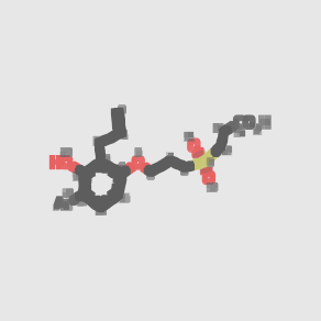 C=CCc1c(OCCCS(=O)(=O)CCC(=O)O)ccc(C(C)=O)c1O